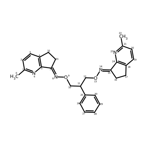 Cc1ccc2c(n1)/C(=N/OCC(CO/N=C1\CCc3ccc(C)nc31)c1ccccc1)CC2